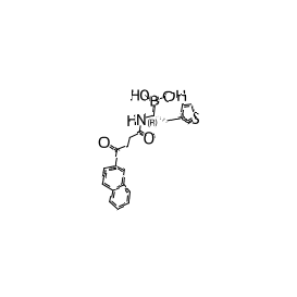 O=C(CCC(=O)c1ccc2ccccc2c1)N[C@@H](Cc1ccsc1)B(O)O